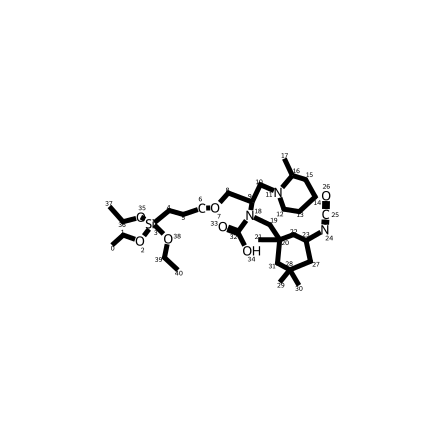 CCO[Si](CCCOCC(CN1CCCCC1C)N(CC1(C)CC(N=C=O)CC(C)(C)C1)C(=O)O)(OCC)OCC